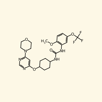 COc1ccc(OC(F)(F)F)cc1NC(=O)NC1CCC(Oc2cc(N3CCOCC3)ncn2)CC1